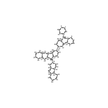 c1ccc(-n2c3ccccc3c3cc(-c4ccc5c(c4)c4cc6ccccc6cc4n5-c4ccc5c(c4)sc4ccccc45)ccc32)cc1